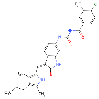 Cc1[nH]c(C=C2C(=O)Nc3cc(NC(=O)NC(=O)c4ccc(Cl)c(C(F)(F)F)c4)ccc32)c(C)c1CCC(=O)O